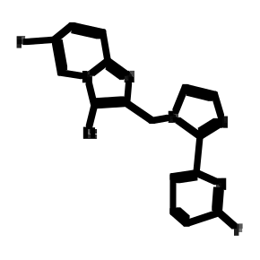 CCc1c(Cn2ccnc2-c2cccc(F)n2)nc2ccc(F)cn12